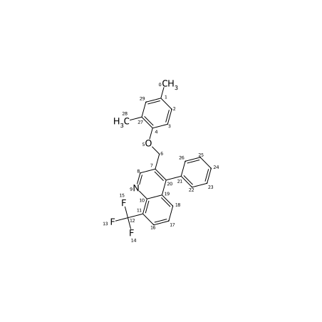 Cc1ccc(OCc2cnc3c(C(F)(F)F)cccc3c2-c2ccccc2)c(C)c1